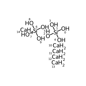 O[Si](O)(O)O.O[Si](O)(O)O.[CaH2].[CaH2].[CaH2].[CaH2].[CaH2]